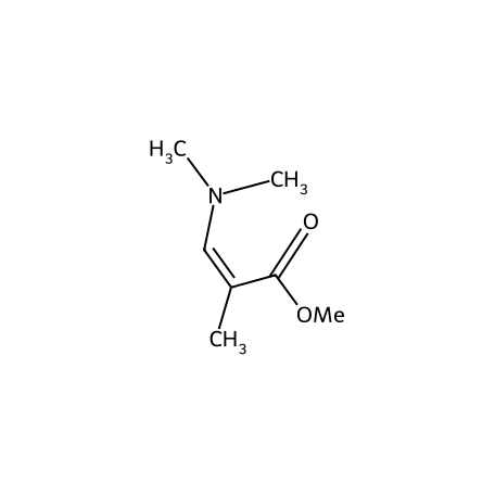 COC(=O)/C(C)=C\N(C)C